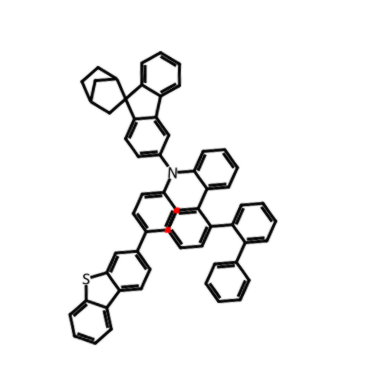 c1ccc(-c2ccccc2-c2ccccc2-c2ccccc2N(c2ccc(-c3ccc4c(c3)sc3ccccc34)cc2)c2ccc3c(c2)-c2ccccc2C32CC3CCC2C3)cc1